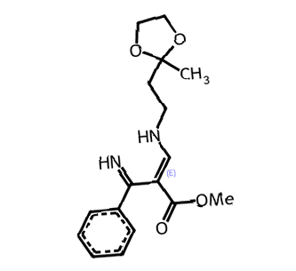 COC(=O)/C(=C/NCCC1(C)OCCO1)C(=N)c1ccccc1